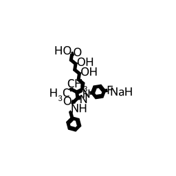 CC(C)c1c(C(=O)NCc2ccccc2)nn(-c2ccc(F)cc2)c1CC[C@@H](O)C[C@@H](O)CC(=O)O.[NaH]